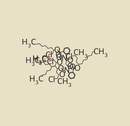 CCCCCCCC(CCC(C)Cl)OC(=O)c1ccccc1N(C(=O)CC(=O)N(C(=O)OC(CCCCCCC)CCC(C)Cl)c1ccccc1C(=O)OC(CCCCCCC)CCC(C)Cl)C(=O)OC(CCCCCCC)CCC(C)Cl